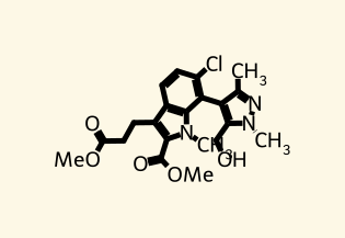 COC(=O)CCc1c(C(=O)OC)n(C)c2c(-c3c(C)nn(C)c3CO)c(Cl)ccc12